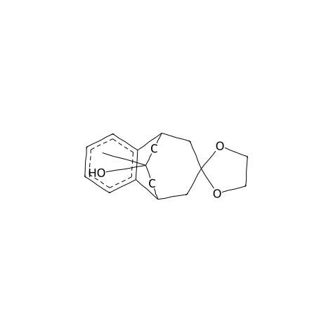 CC1(O)CC2CC3(CC(C1)c1ccccc12)OCCO3